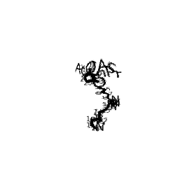 CCCc1c(OCCCCCc2nnnn2CCCc2cccnc2)ccc(C(C)=O)c1OC(C)=O